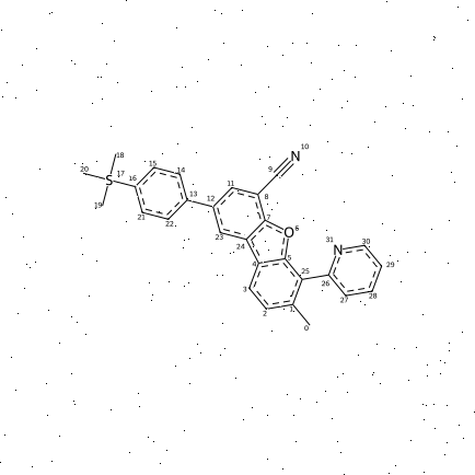 Cc1ccc2c(oc3c(C#N)cc(-c4ccc(S(C)(C)C)cc4)cc32)c1-c1ccccn1